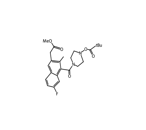 COC(=O)Cc1cc2ccc(F)cc2c(C(=O)N2CCN(OC(=O)C(C)(C)C)CC2)c1C